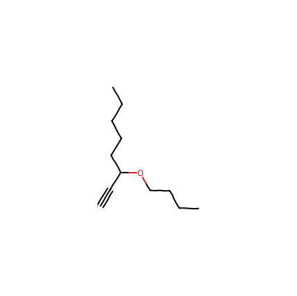 [C]#CC(CCCCC)OCCCC